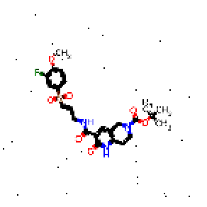 COc1ccc(S(=O)(=O)/C=C/CNC(=O)c2cc3c([nH]c2=O)CCN(C(=O)OC(C)(C)C)C3)cc1F